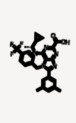 Cc1cc(C)cc(-c2nc3nc(C(=O)O)nc(N[C@H](C)C4CC4)c3n2Cc2ccc(C(F)(F)F)cc2)c1